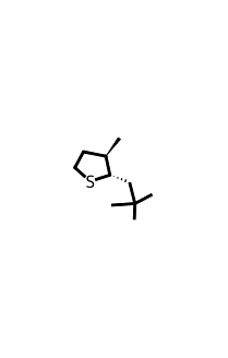 C[C@@H]1CCS[C@H]1CC(C)(C)C